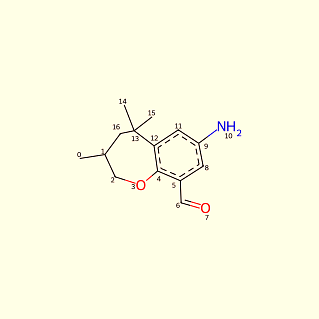 CC1COc2c(C=O)cc(N)cc2C(C)(C)C1